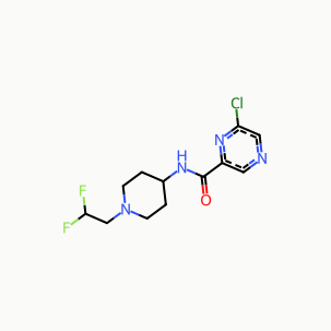 O=C(NC1CCN(CC(F)F)CC1)c1cncc(Cl)n1